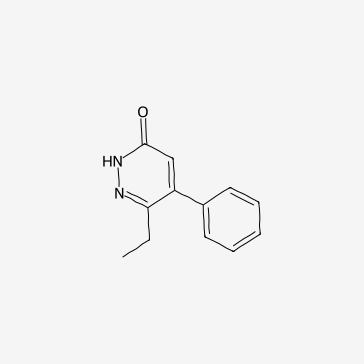 CCc1n[nH]c(=O)cc1-c1ccccc1